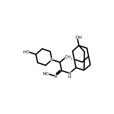 CC(/C(=N\C#N)NC1C2CC3CC1CC(O)(C3)C2)N1CCC(O)CC1